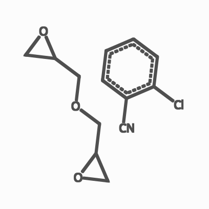 C(OCC1CO1)C1CO1.N#Cc1ccccc1Cl